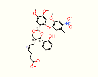 COc1cc(Oc2cc(C)c([N+](=O)[O-])cc2OC)c([C@H]2OC[C@@H](C/C=C\CCC(=O)O)[C@@H](c3ccccc3O)O2)cc1OC